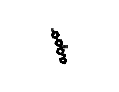 O[C@@]1(c2ccc(-c3ccc(F)cc3)cc2)CCCN(CC2CCCC2)C1